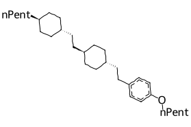 CCCCCOc1ccc(CC[C@H]2CC[C@H](CC[C@H]3CC[C@H](CCCCC)CC3)CC2)cc1